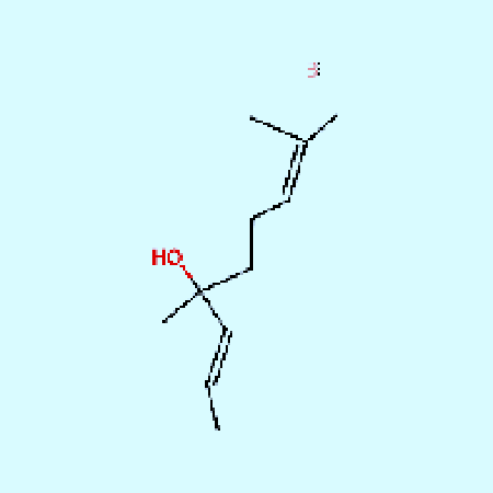 CC=CC(C)(O)CCC=C(C)C.[B]